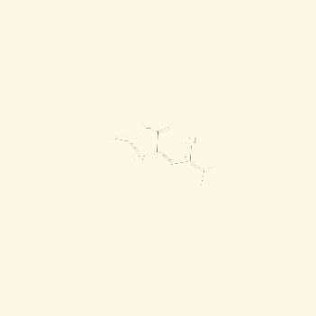 C=c1[nH]c(S)n/c1=C/C(N)=C\C